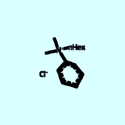 CCCCCC[N+](C)(C)c1ccccc1.[Cl-]